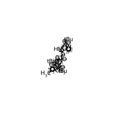 Cc1cc(C)c(S(=O)(=O)NC(CN(C(=O)COC2CNC(CN(C(=O)OC(C)(C)C)c3ccccn3)C2)C(=O)OC(C)(C)C)C(=O)OC(C)(C)C)c(C)c1